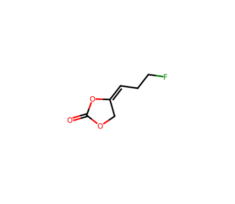 O=C1OCC(=CCCF)O1